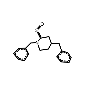 O=S=C1CC(Cc2ccccc2)CCN1Cc1ccccc1